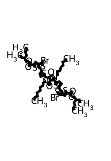 CCCCCCCCN1C(=O)C2=C(c3ccc(-c4sc(Br)c5cc(C(=O)OCC(CC)CCCC)sc45)s3)N(CCCCCCCC)C(=O)C2=C1c1ccc(-c2sc(Br)c3cc(C(=O)OCC(CC)CCCC)sc23)s1